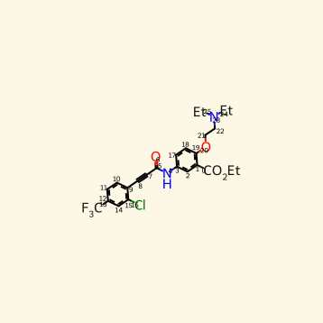 CCOC(=O)c1cc(NC(=O)C#Cc2ccc(C(F)(F)F)cc2Cl)ccc1OCCN(CC)CC